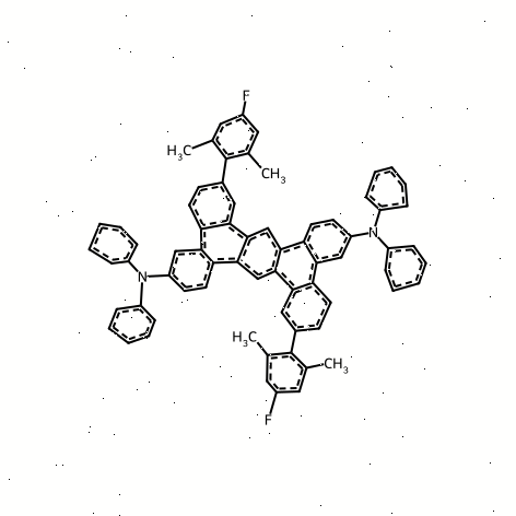 Cc1cc(F)cc(C)c1-c1ccc2c(c1)c1cc3c4ccc(N(c5ccccc5)c5ccccc5)cc4c4ccc(-c5c(C)cc(F)cc5C)cc4c3cc1c1ccc(N(c3ccccc3)c3ccccc3)cc21